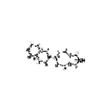 c1ccc2cc(N3CCC4CNCC4CC3)ccc2c1